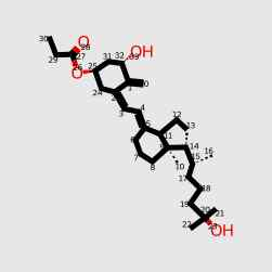 C=C1C(=CC=C2CCC[C@@]3(C)C2CC[C@@H]3[C@H](C)CCCC(C)(C)O)C[C@@H](OC(=O)CC)C[C@@H]1O